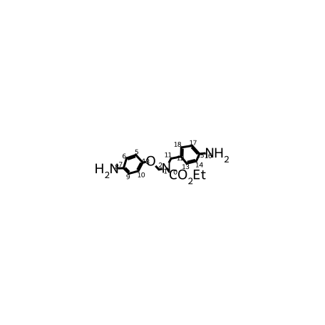 CCOC(=O)N(COc1ccc(N)cc1)Cc1ccc(N)cc1